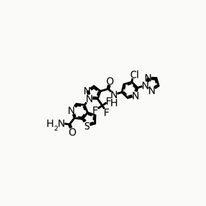 NC(=O)c1ncc(-n2ncc(C(=O)Nc3cnc(-n4nccn4)c(Cl)c3)c2C(F)(F)F)c2ccsc12